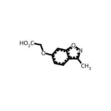 Cc1noc2cc(OCC(=O)O)ccc12